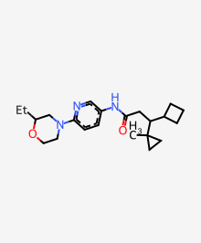 CCC1CN(c2ccc(NC(=O)CC(C3CCC3)C3(C)CC3)cn2)CCO1